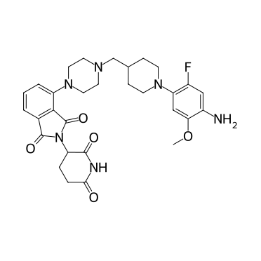 COc1cc(N2CCC(CN3CCN(c4cccc5c4C(=O)N(C4CCC(=O)NC4=O)C5=O)CC3)CC2)c(F)cc1N